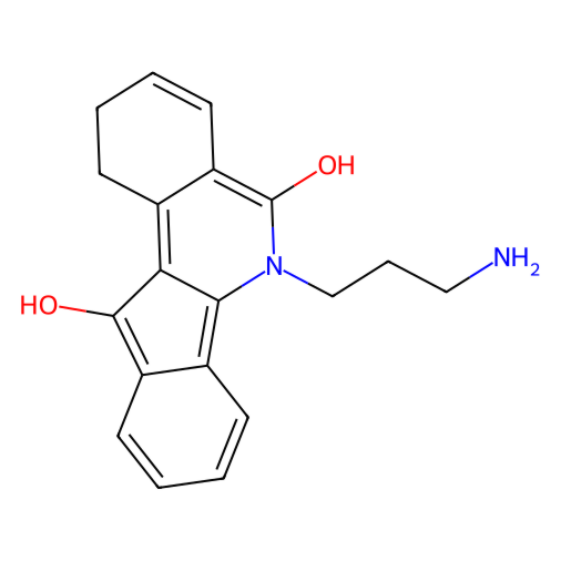 NCCCn1c(O)c2c(c3c(O)c4ccccc4c1-3)CCC=C2